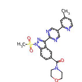 Cc1ccnc(-c2cnc(-c3nn(S(C)(=O)=O)c4ccc(C(=O)N5CCOCC5)cc34)nc2)c1